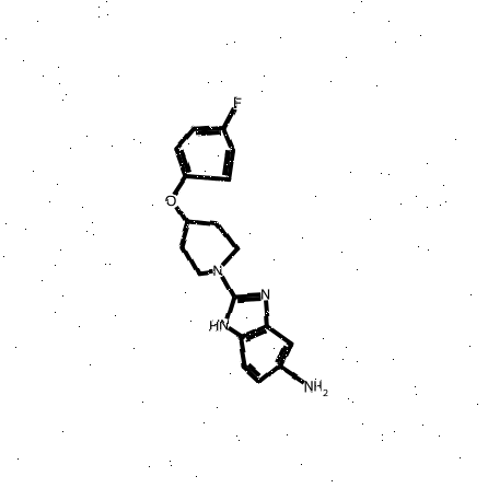 Nc1ccc2[nH]c(N3CCC(Oc4ccc(F)cc4)CC3)nc2c1